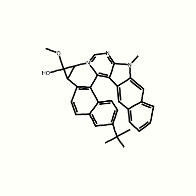 COC1(O)C2c3ccc4cc(C(C)(C)C)ccc4c3-c3c4c5cc6ccccc6cc5n(C)c4nc[n+]3C21